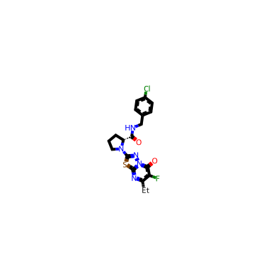 CCc1nc2sc(N3CCC[C@@H]3C(=O)NCc3ccc(Cl)cc3)nn2c(=O)c1F